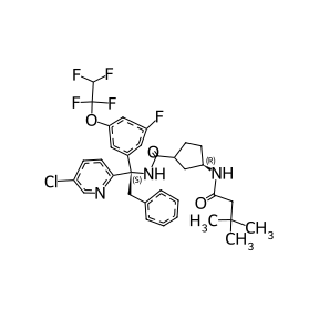 CC(C)(C)CC(=O)N[C@@H]1CCC(C(=O)N[C@@](Cc2ccccc2)(c2cc(F)cc(OC(F)(F)C(F)F)c2)c2ccc(Cl)cn2)C1